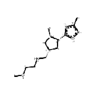 COCCNC[C@H]1C[C@@H](c2nc(C)no2)N(C)C1